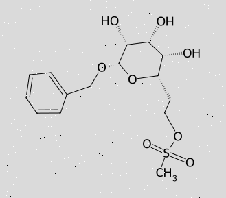 CS(=O)(=O)OCC[C@@H]1O[C@H](OCc2ccccc2)[C@H](O)[C@H](O)[C@@H]1O